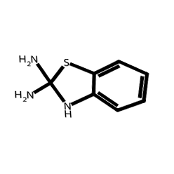 NC1(N)Nc2ccccc2S1